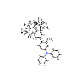 Cc1cc(N(c2ccccc2)c2ccccc2)ccc1-c1cc2c3c(c1)C(C)(C)C(C)(C)C3(C)C(C)(C)C2(C)C